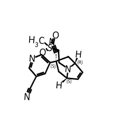 CS(=O)(=O)CCN1[C@@H]2C=C[C@H]1C[C@](C#N)(c1cncc(C#N)c1)C2